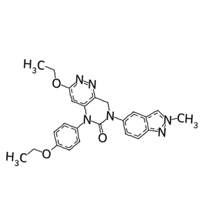 CCOc1ccc(N2C(=O)N(c3ccc4nn(C)cc4c3)Cc3nnc(OCC)cc32)cc1